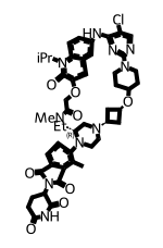 CC[C@@H]1CN([C@H]2C[C@H](OC3CCN(c4ncc(Cl)c(Nc5ccc6c(c5)cc(OCC(=O)NC)c(=O)n6C(C)C)n4)CC3)C2)CCN1c1ccc2c(c1C)C(=O)N(C1CCC(=O)NC1=O)C2=O